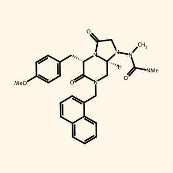 CNC(=O)N(C)N1CC(=O)N2[C@@H](Cc3ccc(OC)cc3)C(=O)N(Cc3cccc4ccccc34)C[C@@H]21